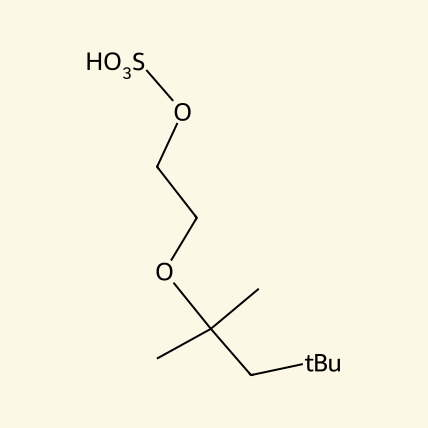 CC(C)(C)CC(C)(C)OCCOS(=O)(=O)O